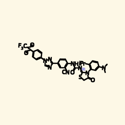 CC(C)c1ccc(N(C)C)cc1N1C(=O)CS/C1=N\C(=O)Nc1ccc(-c2ncn(-c3ccc(S(=O)(=O)C(F)(F)F)cc3)n2)cc1C#N